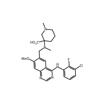 COc1cc2ncnc(Nc3cccc(Cl)c3F)c2cc1CN(C)C1(C(=O)O)CCCN(C)C1